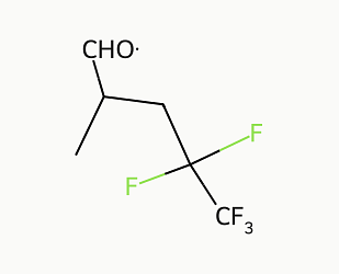 CC([C]=O)CC(F)(F)C(F)(F)F